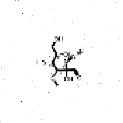 CO[C@@H]([C@H](O)[C@H](O)CO)[C@@](O)(C=O)N=[N+]=[N-]